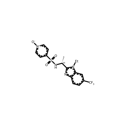 CCn1c([C@@H](C)NS(=O)(=O)c2cc[n+]([O-])cc2)nc2ccc(C(F)(F)F)cc21